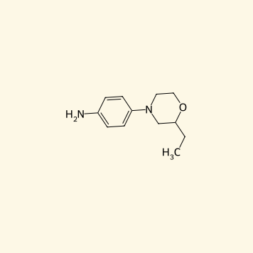 CCC1CN(c2ccc(N)cc2)CCO1